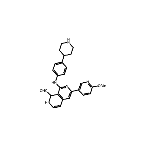 COc1ccc(-c2cc3c(c(Nc4ccc(C5CCNCC5)cc4)n2)C(C=O)NC=C3)cn1